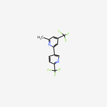 Cc1cc(C(F)(F)F)cc(-c2ccc(C(F)(F)F)nc2)n1